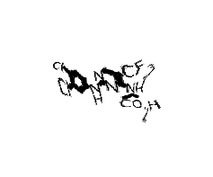 CC(CC(=O)O)Nc1nc(Nc2ccc(Cl)c(Cl)c2)ncc1C(F)(F)F